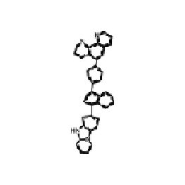 C1=CC2Nc3cc(-c4ccc(-c5ccc(-c6cc7cccnc7c7ncccc67)cc5)c5ccccc45)ccc3N2C=C1